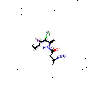 C=C(NC(=O)CC(C)N)/C(Cl)=C(I)\C=C/C